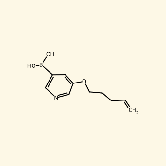 C=CCCCOc1cncc(B(O)O)c1